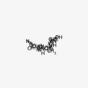 Cc1cc(Nc2nccn3c(-c4ccc(OCC#N)c(Cl)c4)cnc23)ccc1C(=O)N1CCN(C(=O)[C@@H]2C[C@@H](O)CN2)CC1